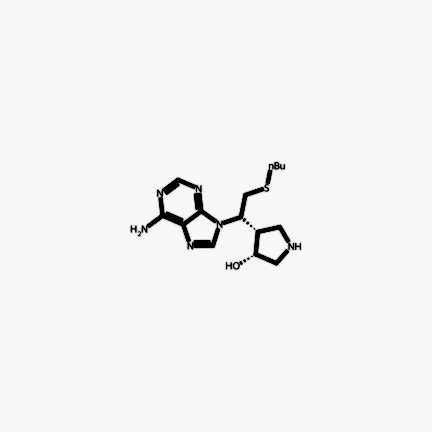 CCCCSCC([C@@H]1CNC[C@@H]1O)n1cnc2c(N)ncnc21